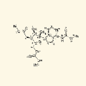 CC(C)OC(=O)C[C@H]1[C@@H](O)[C@](C)(c2ccc3c(NC(=O)OC(C)C)ncnn23)O[C@@H]1COC(=O)OC(C)C